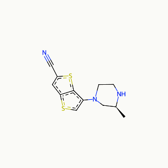 C[C@H]1CN(c2csc3cc(C#N)sc23)CCN1